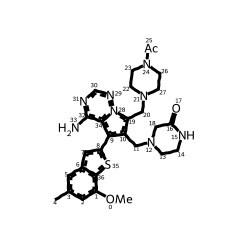 COc1cc(C)cc2cc(-c3c(CN4CCNC(=O)C4)c(CN4CCN(C(C)=O)CC4)n4ncnc(N)c34)sc12